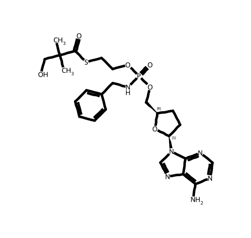 CC(C)(CO)C(=O)SCCOP(=O)(NCc1ccccc1)OC[C@H]1CC[C@@H](n2cnc3c(N)ncnc32)O1